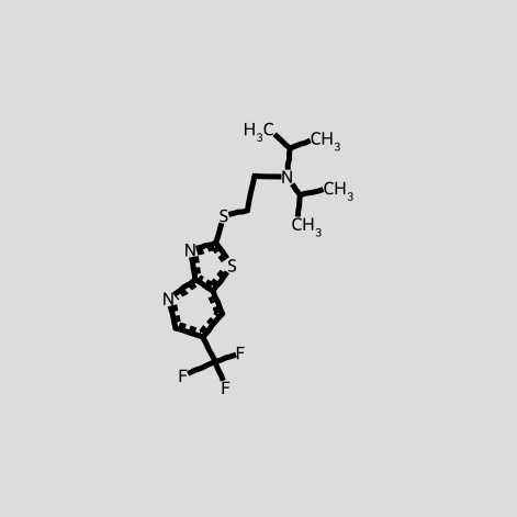 CC(C)N(CCSc1nc2ncc(C(F)(F)F)cc2s1)C(C)C